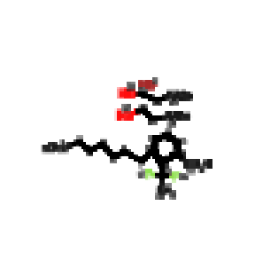 Br.CCCCCCCCCCCCCCCCc1cccc(C(=O)O)c1C(F)(F)C(F)(F)F.CNCCO.CNCCO